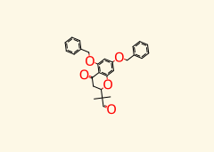 CC(C)(C=O)C1CC(=O)c2c(OCc3ccccc3)cc(OCc3ccccc3)cc2O1